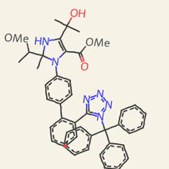 COC(=O)C1=C(C(C)(C)O)NC(C)(C(C)OC)N1c1ccc(-c2ccccc2-c2nnnn2C(c2ccccc2)(c2ccccc2)c2ccccc2)cc1